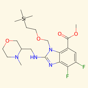 COC(=O)c1cc(F)c(F)c2nc(NCC3COCCN3C)n(COCC[Si](C)(C)C)c12